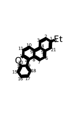 CCc1ccc2c(ccc3c2ccc2oc4ccccc4c23)c1